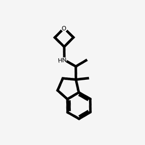 CC(NC1COC1)C1(C)CCc2ccccc21